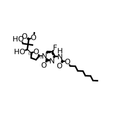 CCCCCCCCOC(=O)Nc1nc(=O)n([C@H]2CC[C@@H](C(O)C(C)(CO)C(=O)OC)O2)cc1F